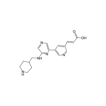 O=C(O)C=Cc1cncc(-c2cncc(NCC3CCNCC3)n2)c1